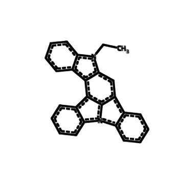 CCn1c2ccccc2c2c3c4ccccc4n4c5ccccc5c(cc21)c34